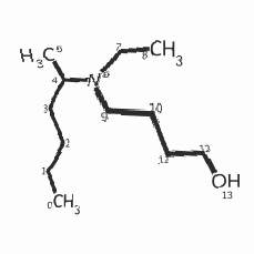 CCCCC(C)N(CC)CCCCO